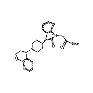 CNC(=O)Cn1c(=O)n(C2CCN(C3CCOc4ccccc43)CC2)c2ccccc21